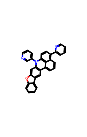 c1ccc(-c2ccc3c4c(cccc24)-c2cc4c(cc2N3c2cccnc2)oc2ccccc24)nc1